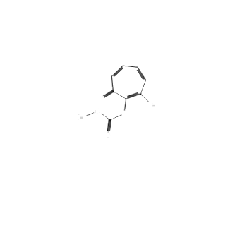 CC(C)(C)OC(=O)Oc1c(Br)ccccc1=O